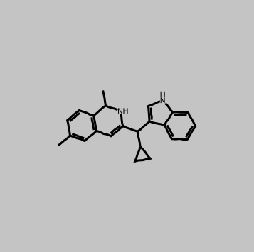 Cc1ccc2c(c1)C=C(C(c1c[nH]c3ccccc13)C1CC1)NC2C